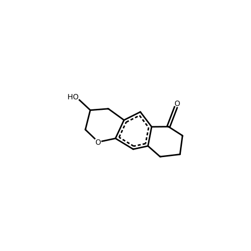 O=C1CCCc2cc3c(cc21)CC(O)CO3